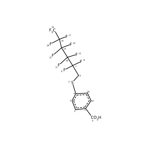 O=C(O)c1ccc(SCC(F)(F)C(F)(F)C(F)(F)C(F)(F)C(F)(F)F)cc1